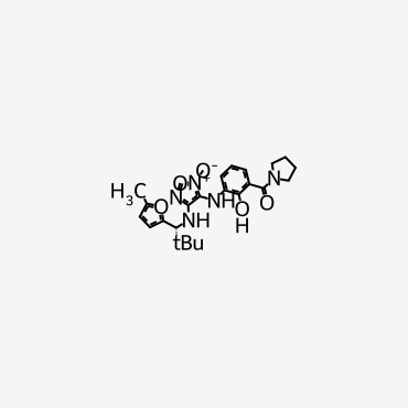 Cc1ccc([C@H](Nc2no[n+]([O-])c2Nc2cccc(C(=O)N3CCCC3)c2O)C(C)(C)C)o1